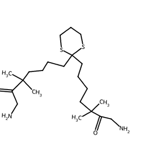 CC(C)(CCCCC1(CCCCC(C)(C)C(=O)CN)SCCCS1)C(=O)CN